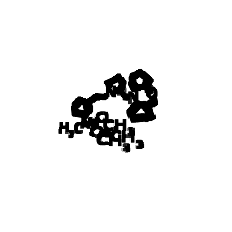 CN(C(=O)OC(C)(C)C)c1cccc(CCN2CCC[C@H]2CN2c3ccccc3COc3ccccc32)c1